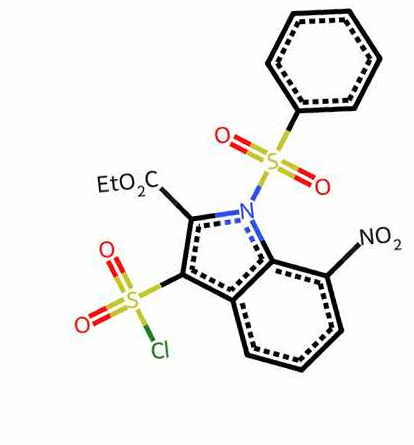 CCOC(=O)c1c(S(=O)(=O)Cl)c2cccc([N+](=O)[O-])c2n1S(=O)(=O)c1ccccc1